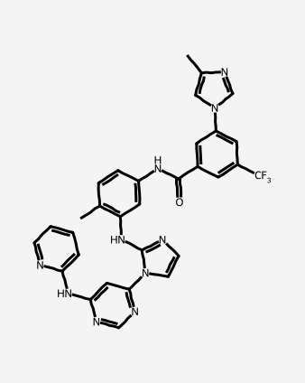 Cc1cn(-c2cc(C(=O)Nc3ccc(C)c(Nc4nccn4-c4cc(Nc5ccccn5)ncn4)c3)cc(C(F)(F)F)c2)cn1